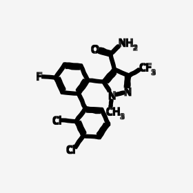 Cn1nc(C(F)(F)F)c(C(N)=O)c1-c1ccc(F)cc1-c1cccc(Cl)c1Cl